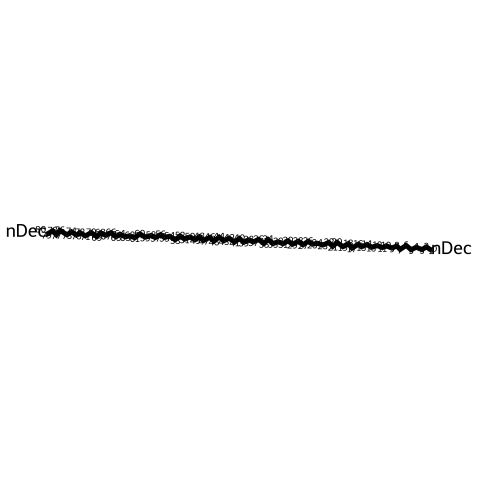 CCCCCCCCCCCCCCCCCCCCCCCCCCCCCCCCCCCCCCCCCCCCCCCCCCCCCCCCCCCCCCCCCCCCCCCCCCCCCCCCCCCCCCCCCCCCCCCCCCC